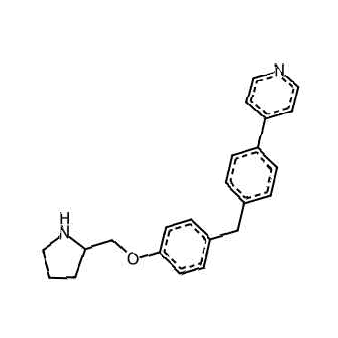 c1cc(-c2ccc(Cc3ccc(OCC4CCCN4)cc3)cc2)ccn1